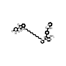 Nc1nccn2c([C@@H]3CCCN3CCCCCCCCCCCNc3cccc4c3C(=O)N(C3CCC(=O)NC3=O)C4=O)nc(-c3ccc(C(=O)Nc4ccccn4)cc3)c12